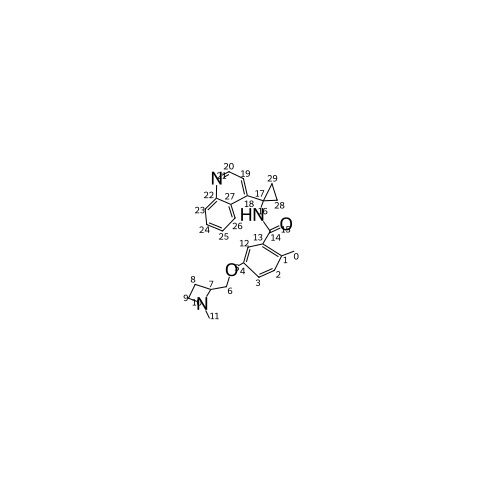 Cc1ccc(OCC2CCN2C)cc1C(=O)NC1(c2ccnc3ccccc23)CC1